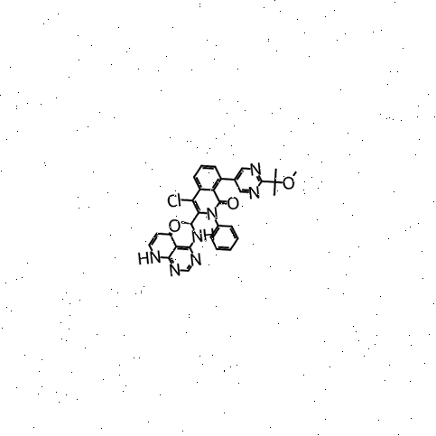 COC(C)(C)c1ncc(-c2cccc3c(Cl)c([C@H](C)Nc4ncnc5[nH]ccc(=O)c45)n(-c4ccccc4)c(=O)c23)cn1